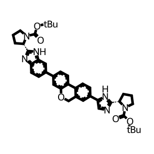 CC(C)(C)OC(=O)N1CCC[C@H]1c1ncc(-c2ccc3c(c2)COc2cc(-c4ccc5nc([C@@H]6CCCN6C(=O)OC(C)(C)C)[nH]c5c4)ccc2-3)[nH]1